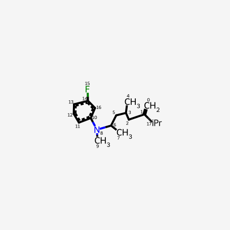 C=C(CC(C)CC(C)N(C)c1cccc(F)c1)C(C)C